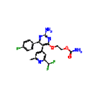 Cc1cc(-c2c(OCCOC(N)=O)nc(N)nc2-c2ccc(F)cc2)cc(C(F)F)n1